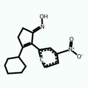 O=[N+]([O-])c1cccc(C2=C(C3CCCCC3)CC/C2=N\O)c1